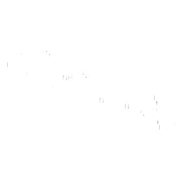 CS(=O)(=O)c1cncc(C(=O)NCc2cc3nc(-c4cccc(N5C[C@@H]6CCS(=O)(=O)[C@@H]6C5)n4)ccc3cn2)c1